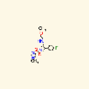 CCOCCNCC1CN(S(=O)(=O)c2cn(C)cn2)CC1c1ccc(F)cc1